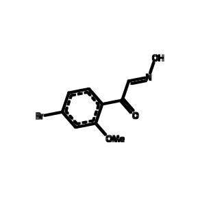 COc1cc(Br)ccc1C(=O)C=NO